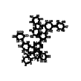 CC12C=CC=CC1c1ccccc1N2c1ccc(-c2ccccc2)cc1-c1nc(-c2ccccc2)nc(-c2ccc(-c3cc(-c4ccccc4)ccc3-n3c4ccccc4c4ccccc43)cc2)n1